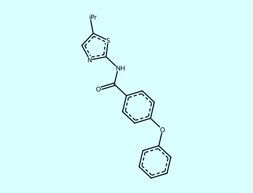 CC(C)c1cnc(NC(=O)c2ccc(Oc3ccccc3)cc2)s1